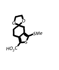 CSc1sc(C(=O)O)c2c1CC1(CC2)OCCO1